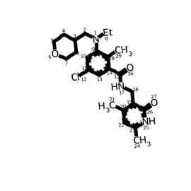 CCN(CC1CCOCC1)c1cc(Cl)cc(C(=O)NCc2c(C)cc(C)[nH]c2=O)c1C